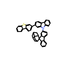 c1ccc2c(c1)-c1ccc(-n3c4ccccc4c4ccc(-c5ccc6c(c5)sc5ccccc56)cc43)cc1C21C2CC3CC(C2)CC1C3